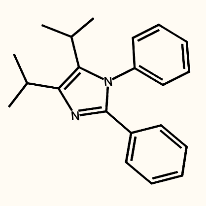 CC(C)c1nc(-c2ccccc2)n(-c2ccccc2)c1C(C)C